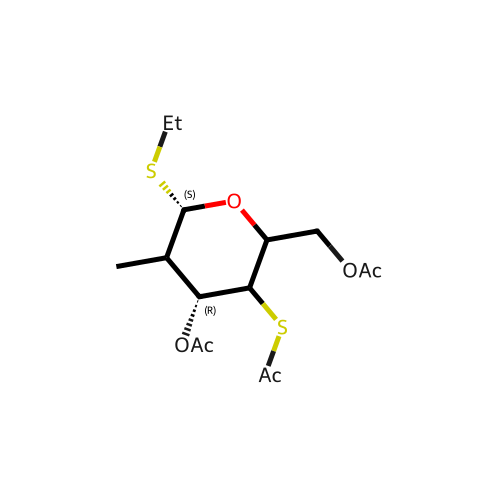 CCS[C@@H]1OC(COC(C)=O)C(SC(C)=O)[C@H](OC(C)=O)C1C